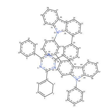 C1=CCCC(c2nc(-c3ccccc3)nc(-c3cccc(-c4cccc5c6ccccc6n(-c6cccc(-c7ccc8c(c7)c7ccccc7n8-c7ccccc7)c6)c45)c3)n2)=C1